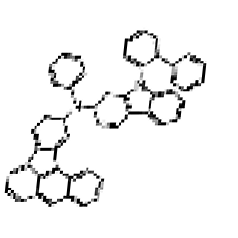 C1=CC(N(c2ccccc2)C2C=C3C(=CC2)c2cccc4cc5ccccc5c3c24)Cc2c1c1ccccc1n2-c1ccccc1-c1ccccc1